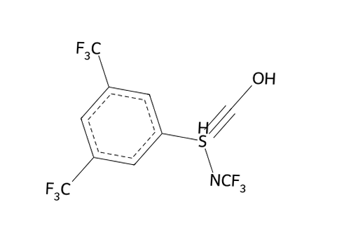 OC#[SH](NC(F)(F)F)c1cc(C(F)(F)F)cc(C(F)(F)F)c1